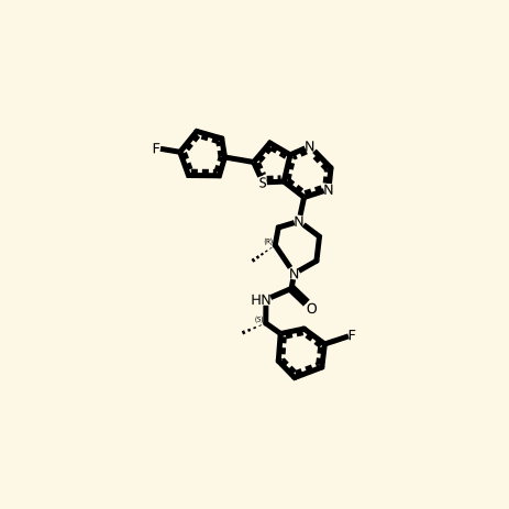 C[C@H](NC(=O)N1CCN(c2ncnc3cc(-c4ccc(F)cc4)sc23)C[C@H]1C)c1cccc(F)c1